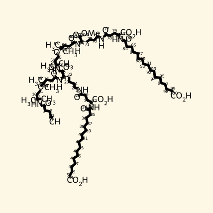 C#CCCC(=O)NC(C)(C)CCOC(C)(C)CCC(=O)N[C@@H](CCCCNC(=O)CCC(NC(=O)CCCCCCCCCCCCCCCCC(=O)O)C(=O)O)C(=O)NC(C)(C)CCOC(C)(C)CCC(=O)N[C@@H](CCCCNC(=O)CCC(NC(=O)CCCCCCCCCCCCCCCCC(=O)O)C(=O)O)C(=O)OC